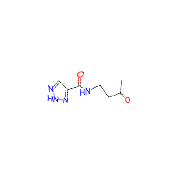 O=C(I)CCNC(=O)c1cn[nH]n1